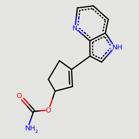 NC(=O)OC1C=C(c2c[nH]c3cccnc23)CC1